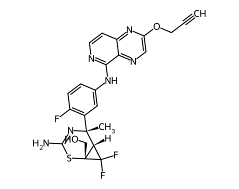 C#CCOc1cnc2c(Nc3ccc(F)c([C@@]4(C)N=C(N)S[C@]5(CO)[C@H]4C5(F)F)c3)nccc2n1